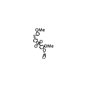 COc1cccc(Sc2ccc3c(c2)C(=O)N(c2ccc(OCCN4CCCC4)c(OC)c2)C3=O)c1